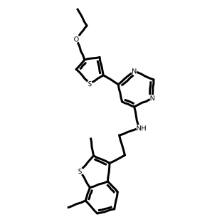 CCOc1csc(-c2cc(NCCc3c(C)sc4c(C)cccc34)ncn2)c1